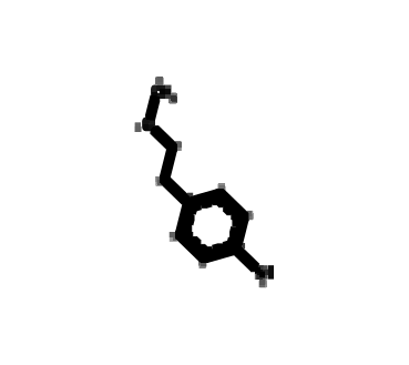 COCCc1ccc(S)cc1